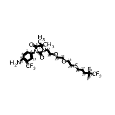 CC1(C)C(=O)N(c2ccc(N)c(C(F)(F)F)c2)C(=O)N1CCOCCOCCSCCCC(F)(F)C(F)(F)F